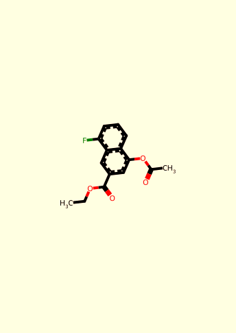 CCOC(=O)c1cc(OC(C)=O)c2cccc(F)c2c1